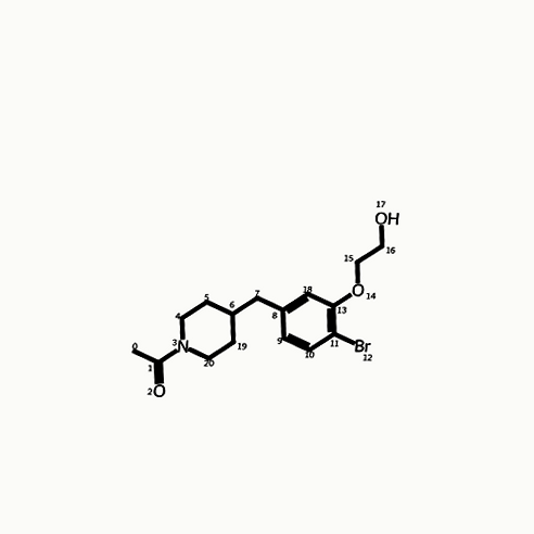 CC(=O)N1CCC(Cc2ccc(Br)c(OCCO)c2)CC1